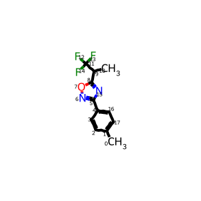 Cc1ccc(-c2noc(C(C)C(F)(F)F)n2)cc1